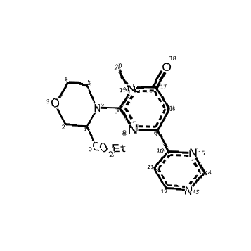 CCOC(=O)C1COCCN1c1nc(-c2ccncn2)cc(=O)n1C